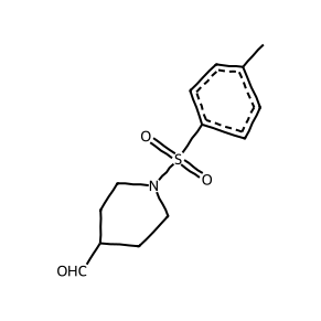 Cc1ccc(S(=O)(=O)N2CCC(C=O)CC2)cc1